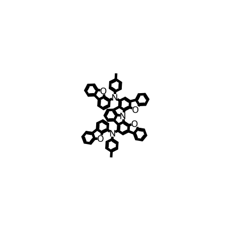 Cc1ccc(N(c2cccc3c2oc2ccccc23)c2cc3c4ccccc4oc3c3c2c2cccc4c5c(N(c6ccc(C)cc6)c6cccc7c6oc6ccccc67)cc6c7ccccc7oc6c5n3c24)cc1